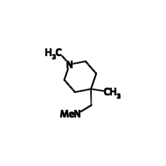 CNCC1(C)CCN(C)CC1